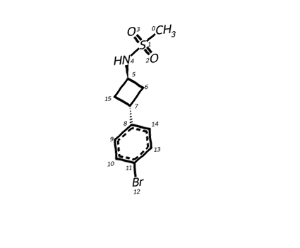 CS(=O)(=O)N[C@H]1C[C@H](c2ccc(Br)cc2)C1